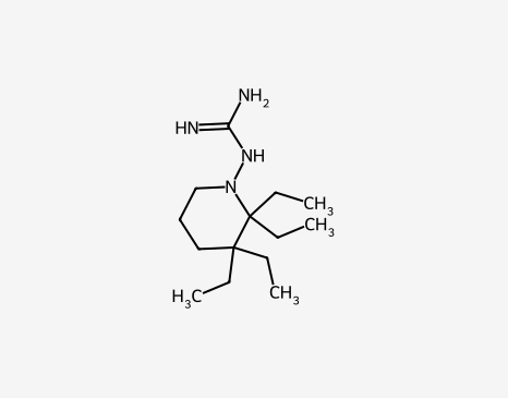 CCC1(CC)CCCN(NC(=N)N)C1(CC)CC